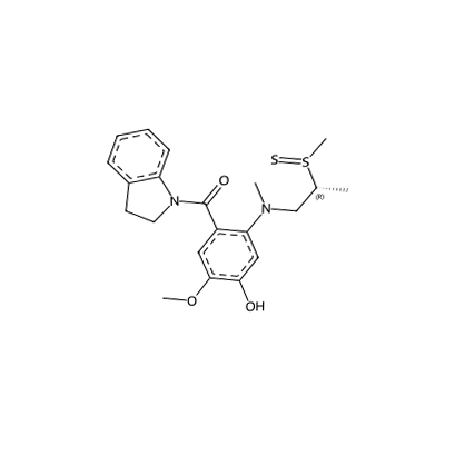 COc1cc(C(=O)N2CCc3ccccc32)c(N(C)C[C@@H](C)S(C)=S)cc1O